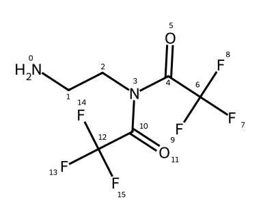 NCCN(C(=O)C(F)(F)F)C(=O)C(F)(F)F